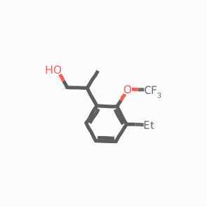 CCc1cccc([C](C)CO)c1OC(F)(F)F